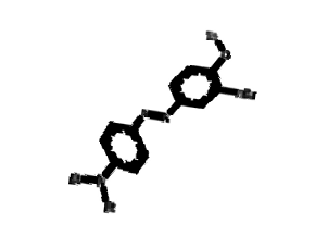 CCCCc1cc(N=Nc2ccc(N(CC)CC)cc2)ccc1OCC